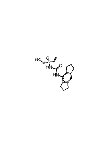 C=CS(=O)(=NC#N)NC(=O)Nc1c2c(cc3c1CCC3)CCC2